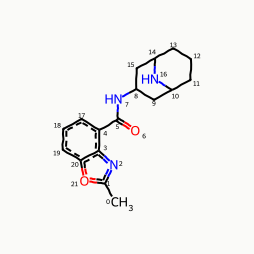 Cc1nc2c(C(=O)NC3CC4CCCC(C3)N4)cccc2o1